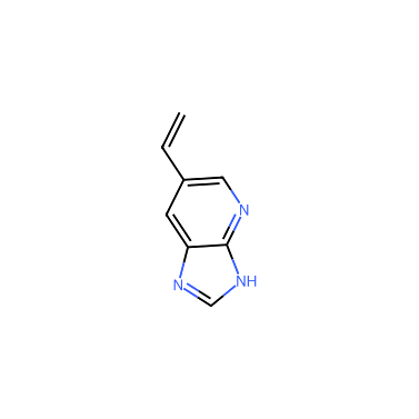 C=Cc1cnc2[nH]cnc2c1